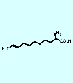 CC=CCCCCCCC(C)C(=O)O